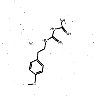 COc1ccc(CCNC(=N)NC(=N)N)cc1.Cl